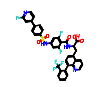 O=C(NC(Cc1ccc(-c2ccccc2C(F)(F)F)c2ncccc12)C(=O)O)c1c(F)cc(NS(=O)(=O)c2ccc(-c3ccnc(F)c3)cc2)cc1F